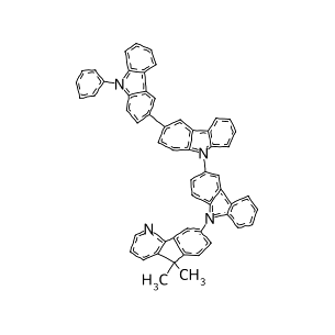 CC1(C)c2ccc(-n3c4ccccc4c4cc(-n5c6ccccc6c6cc(-c7ccc8c(c7)c7ccccc7n8-c7ccccc7)ccc65)ccc43)cc2-c2ncccc21